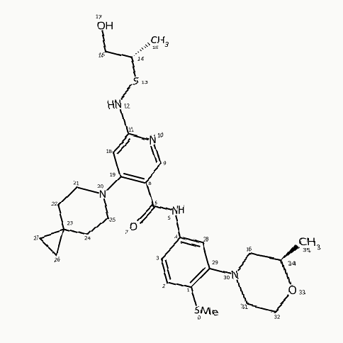 CSc1ccc(NC(=O)c2cnc(NS[C@@H](C)CO)cc2N2CCC3(CC2)CC3)cc1N1CCO[C@H](C)C1